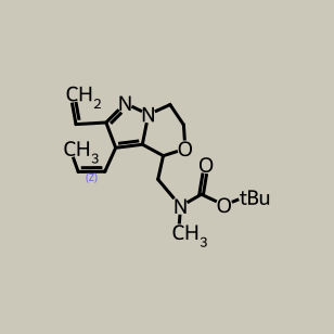 C=Cc1nn2c(c1/C=C\C)C(CN(C)C(=O)OC(C)(C)C)OCC2